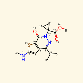 CNc1cc2c(C(C)C)nn(C3(C(=O)OC)CC3)c(=O)c2s1